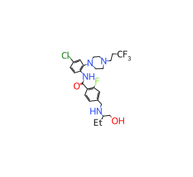 CC[C@H](CO)NCc1ccc(C(=O)Nc2ccc(Cl)cc2N2CCN(CCC(F)(F)F)CC2)c(F)c1